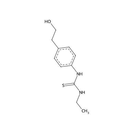 CCNC(=S)Nc1ccc(CCO)cc1